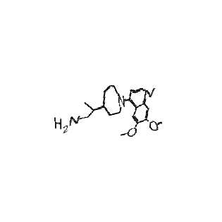 COc1cc2nccc(N3CCC(C(C)CN)CC3)c2cc1OC